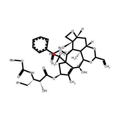 C=CC1O[C@H]2C[C@H]3OC[C@@]3(OC(C)=O)[C@@]3(C)[C@H](OC(=O)c4ccccc4)C4(C(C)(C)O)C[C@H](OC(=O)[C@H](O)[C@H](CC(C)C)NC(=O)OC(C)(C)C)C(C)=C4[C@H](OC(C)=O)[C@H](O1)[C@]23C